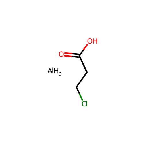 O=C(O)CCCl.[AlH3]